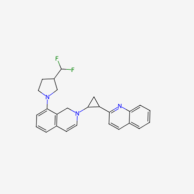 FC(F)C1CCN(c2cccc3c2CN(C2CC2c2ccc4ccccc4n2)C=C3)C1